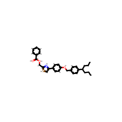 CCCC(CCC)c1ccc(COc2ccc(-c3csc(COC(=O)c4ccccc4)n3)cc2)cc1